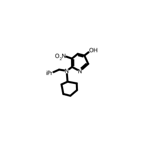 CC(C)CN(c1ncc(O)cc1[N+](=O)[O-])C1CCCCC1